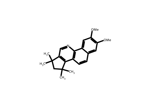 COc1cc2ccc3c4c(cnc3c2cc1OC)C(C)(C)CC4(C)C